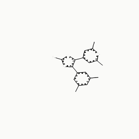 Cc1cc(C)cc(-c2nc(N)sc2-c2cc(C)nc(C)c2)c1